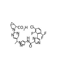 CC(c1cnc(N2CC3CC3C2C(=O)O)nc1)n1cc(NC(=O)c2cncc(-c3c(C(F)F)ccc(Cl)c3F)n2)cn1